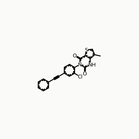 Cc1csc2c(=O)n(-c3ccc(C#Cc4ccccc4)cc3Cl)c(=O)[nH]c12